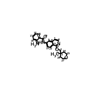 CC1(COc2nccc3cc(NC(=O)c4ncccc4N)ccc23)CCOCC1